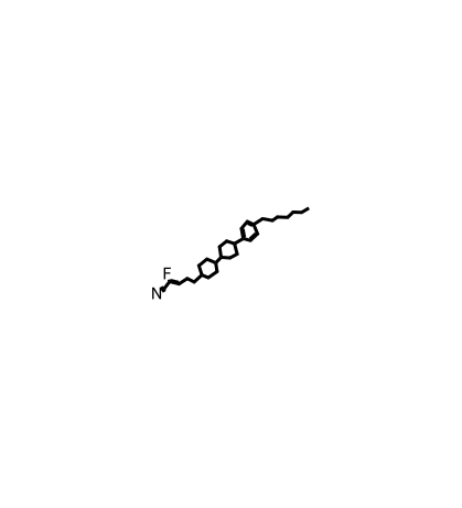 CCCCCCCc1ccc(C2CCC(C3CCC(CCC=C(F)C#N)CC3)CC2)cc1